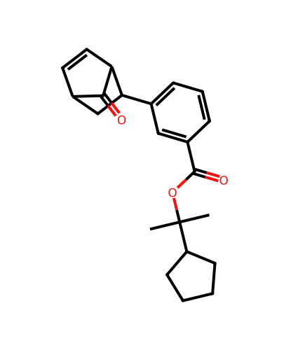 CC(C)(OC(=O)c1cccc(C2CC3C=CC2C3=O)c1)C1CCCC1